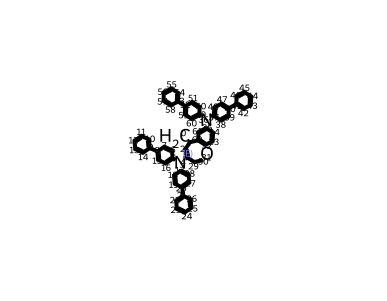 C=C1/C=C(/N(c2ccc(-c3ccccc3)cc2)c2ccc(-c3ccccc3)cc2)CCOc2ccc(N(c3ccc(-c4ccccc4)cc3)c3ccc(-c4ccccc4)cc3)cc21